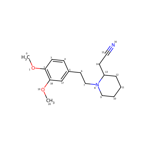 COc1ccc(CCN2CCCCC2CC#N)cc1OC